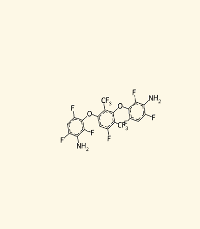 Nc1c(F)cc(F)c(Oc2cc(F)c(C(F)(F)F)c(Oc3c(F)cc(F)c(N)c3F)c2C(F)(F)F)c1F